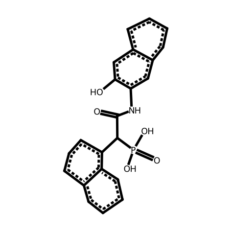 O=C(Nc1cc2ccccc2cc1O)C(c1cccc2ccccc12)P(=O)(O)O